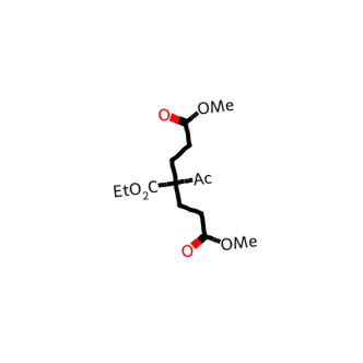 CCOC(=O)C(CCC(=O)OC)(CCC(=O)OC)C(C)=O